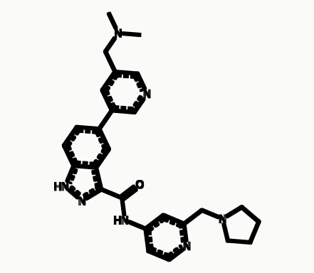 CN(C)Cc1cncc(-c2ccc3[nH]nc(C(=O)Nc4ccnc(CN5CCCC5)c4)c3c2)c1